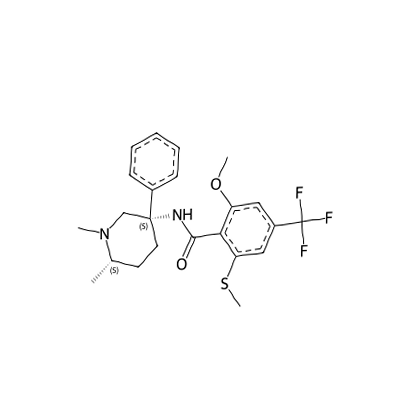 COc1cc(C(F)(F)F)cc(SC)c1C(=O)N[C@]1(c2ccccc2)CC[C@H](C)N(C)C1